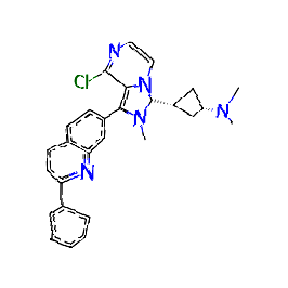 CN1C(c2ccc3ccc(-c4ccccc4)nc3c2)=C2C(Cl)=NC=CN2C1[C@H]1C[C@@H](N(C)C)C1